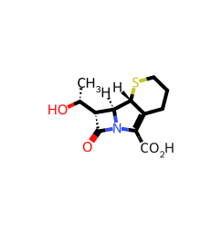 C[C@@H](O)[C@H]1C(=O)N2C(C(=O)O)=C3CCCS[C@H]3[C@H]12